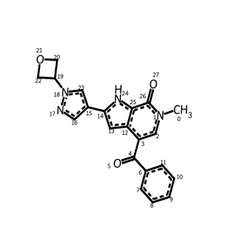 Cn1cc(C(=O)c2ccccc2)c2cc(-c3cnn(C4COC4)c3)[nH]c2c1=O